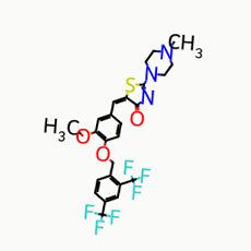 COc1cc(C=C2SC(N3CCN(C)CC3)=NC2=O)ccc1OCc1ccc(C(F)(F)F)cc1C(F)(F)F